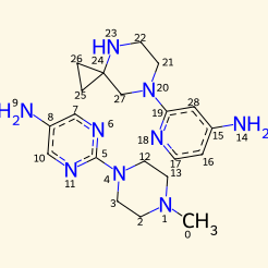 CN1CCN(c2ncc(N)cn2)CC1.Nc1ccnc(N2CCNC3(CC3)C2)c1